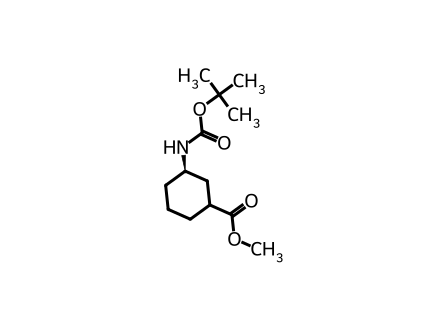 COC(=O)C1CCC[C@@H](NC(=O)OC(C)(C)C)C1